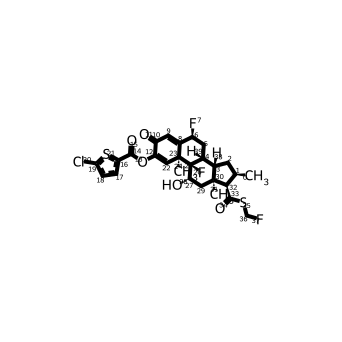 C[C@@H]1C[C@H]2[C@H]3C[C@H](F)C4=CC(=O)C(OC(=O)c5ccc(Cl)s5)=C[C@]4(C)[C@@]3(F)[C@@H](O)C[C@]2(C)[C@@H]1C(=O)SCF